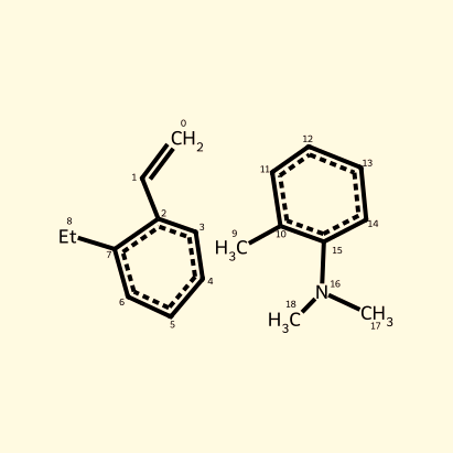 C=Cc1ccccc1CC.Cc1ccccc1N(C)C